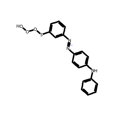 OOOSc1cccc(/N=N/c2ccc(Nc3ccccc3)cc2)c1